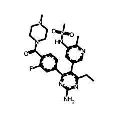 CCc1nc(N)nc(-c2ccc(C(=O)N3CCN(C)CC3)c(F)c2)c1-c1cnc(C)c(NS(C)(=O)=O)c1